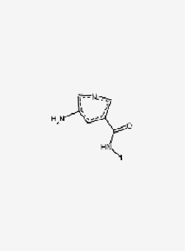 Nc1cncc(C(=O)NI)c1